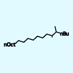 CCCCCCCCCCCCCCC[CH]C(C)CCCC